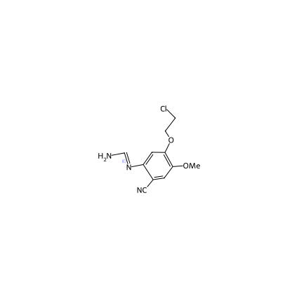 COc1cc(C#N)c(/N=C/N)cc1OCCCl